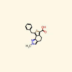 Cn1cc2c(n1)-c1c(Cc3ccccc3)sc(C(=O)O)c1CC2